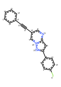 Fc1ccc(-c2cc3ncc(C#Cc4ccccc4)cn3n2)cc1